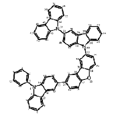 c1ccc(-n2c3ccccc3c3cc(-c4ccc5oc6ccc(-n7c8ccccc8c8cc(-n9c%10ccccc%10c%10ccccc%109)ccc87)cc6c5c4)ccc32)cc1